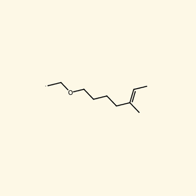 [CH2]COCCCCC(C)=CC